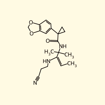 C/C=C(/NCCC#N)C(C)(C)NC(=O)C1(c2ccc3c(c2)OCO3)CC1